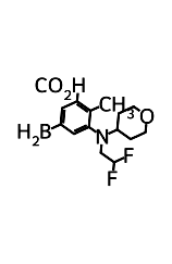 Bc1cc(C(=O)O)c(C)c(N(CC(F)F)C2CCOCC2)c1